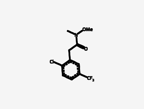 CON(C)C(=O)Cc1cc(C(F)(F)F)ccc1Cl